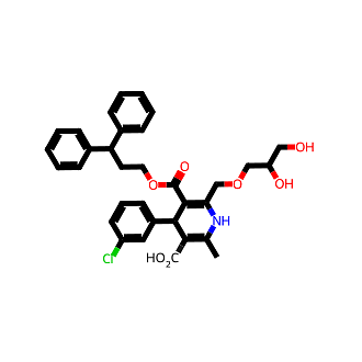 CC1=C(C(=O)O)C(c2cccc(Cl)c2)C(C(=O)OCCC(c2ccccc2)c2ccccc2)=C(COCC(O)CO)N1